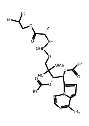 CCC(CC)COC(=O)[C@H](C)N[PH](=O)OCC(C#N)(OC)[C@@H](OC(=O)C(C)C)[C@@H](OC(=O)C(C)C)c1ccc2c(N)ncnn12